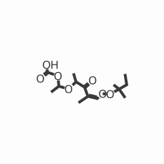 CCC(C)(C)OOC=C(C)C(=O)C(C)OC(C)OC(=O)O